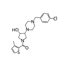 Cc1ccsc1C(=O)N1CC(O)C(N2CCN(Cc3ccc(Cl)cc3)CC2)C1